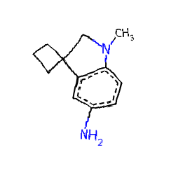 CN1CC2(CCC2)c2cc(N)ccc21